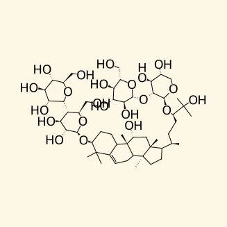 C[C@H](CC[C@@H](O[C@@H]1OC[C@@H](O)[C@H](O)[C@H]1O[C@H]1O[C@@H](CO)[C@H](O)[C@@H](O)[C@@H]1O)C(C)(C)O)C1CC[C@@]2(C)C3CC=C4C(CC[C@H](O[C@@H]5O[C@H](CO)[C@@H](C6O[C@H](CO)[C@@H](O)[C@H](O)[C@H]6O)[C@H](O)[C@H]5O)C4(C)C)[C@]3(C)[C@H](O)C[C@]12C